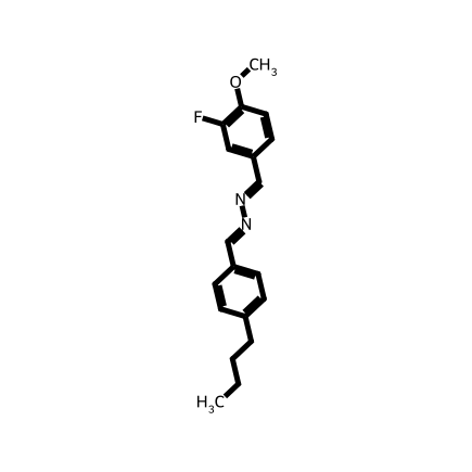 CCCCc1ccc(C=NN=Cc2ccc(OC)c(F)c2)cc1